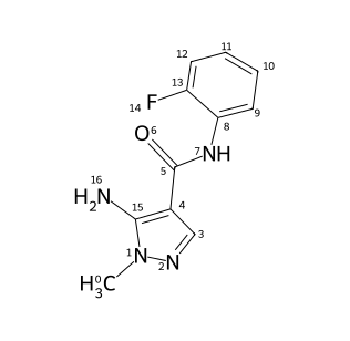 Cn1ncc(C(=O)Nc2ccccc2F)c1N